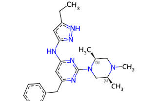 CCc1cc(Nc2cc(Cc3ccccc3)nc(N3C[C@H](C)N(C)C[C@@H]3C)n2)n[nH]1